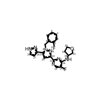 Fc1ccccc1Cn1nc(-c2ncc(F)c(NC3CCOC3)n2)cc1-c1cc[nH]n1